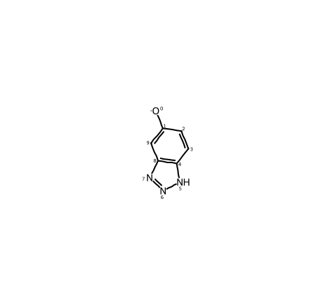 [O]c1ccc2[nH]nnc2c1